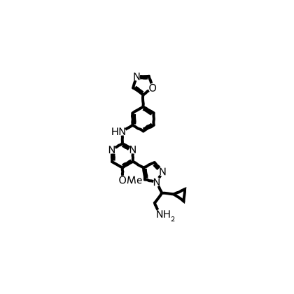 COc1cnc(Nc2cccc(-c3cnco3)c2)nc1-c1cnn(C(CN)C2CC2)c1